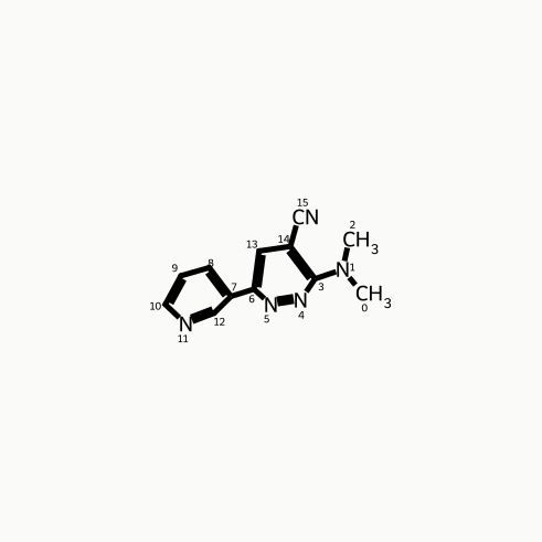 CN(C)c1nnc(-c2cccnc2)cc1C#N